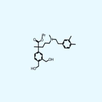 Cc1ccc(CCN(C)CCCC(C)(C(=O)OC(C)C)c2ccc(CO)c(CO)c2)cc1C